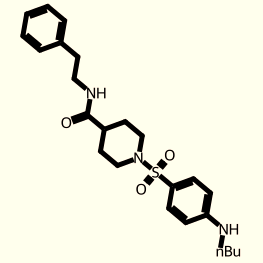 CCCCNc1ccc(S(=O)(=O)N2CCC(C(=O)NCCc3ccccc3)CC2)cc1